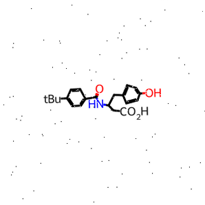 CC(C)(C)c1ccc(C(=O)NC(CC(=O)O)Cc2ccc(O)cc2)cc1